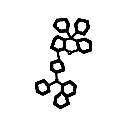 c1ccc(N(c2ccc(-c3cccc4c3Oc3ccccc3C4(c3ccccc3)c3ccccc3)cc2)c2cccc3ccccc23)cc1